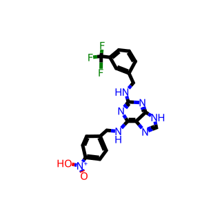 O=[N+](O)c1ccc(CNc2nc(NCc3cccc(C(F)(F)F)c3)nc3[nH]cnc23)cc1